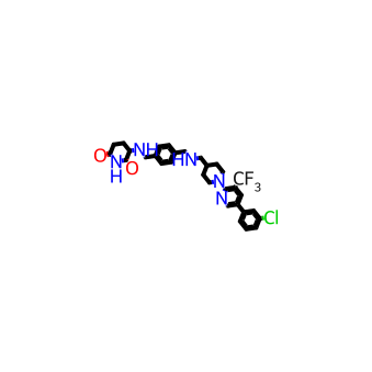 O=C1CCC(NCc2ccc(CNCC3CCN(c4ncc(-c5cccc(Cl)c5)cc4C(F)(F)F)CC3)cc2)C(=O)N1